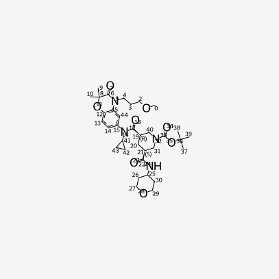 COCCCN1C(=O)C(C)(C)Oc2ccc(N(C(=O)[C@@H]3C[C@H](C(=O)NC4CCOCC4)CN(C(=O)OC(C)(C)C)C3)C3CC3)cc21